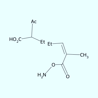 CCC(C(C)=O)C(=O)O.CCC=C(C)C(=O)ON